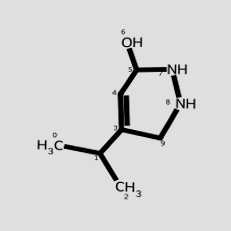 CC(C)C1=CC(O)NNC1